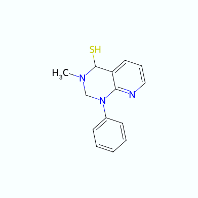 CN1CN(c2ccccc2)c2ncccc2C1S